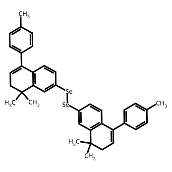 Cc1ccc(C2=CCC(C)(C)c3cc([Se][Se]c4ccc5c(c4)C(C)(C)CC=C5c4ccc(C)cc4)ccc32)cc1